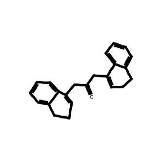 O=C(CC1=CCCc2ccccc21)CC1=CCCc2ccccc21